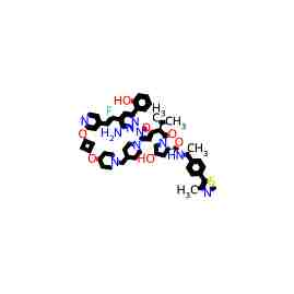 Cc1ncsc1-c1ccc([C@H](C)NC(=O)[C@@H]2C[C@@H](O)CN2C(=O)[C@@H](c2cc(N3CCC(CN4CCC(O[C@H]5C[C@H](Oc6cc(/C=C(\F)c7cc(-c8ccccc8O)nnc7N)ccn6)C5)CC4)CC3)no2)C(C)C)cc1